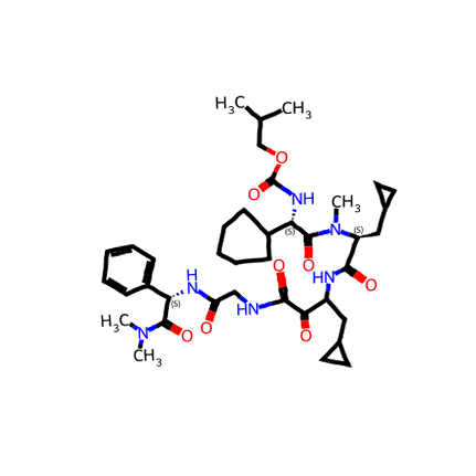 CC(C)COC(=O)N[C@H](C(=O)N(C)[C@@H](CC1CC1)C(=O)NC(CC1CC1)C(=O)C(=O)NCC(=O)N[C@H](C(=O)N(C)C)c1ccccc1)C1CCCCC1